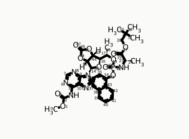 COC(=O)Nc1ncnc2c1ncn2[C@@H]1O[C@H]([C@H](C)OP(=O)(N[C@@H](C)C(=O)OCC(C)(C)C)Oc2cccc3ccccc23)[C@H]2OC(=O)O[C@H]21